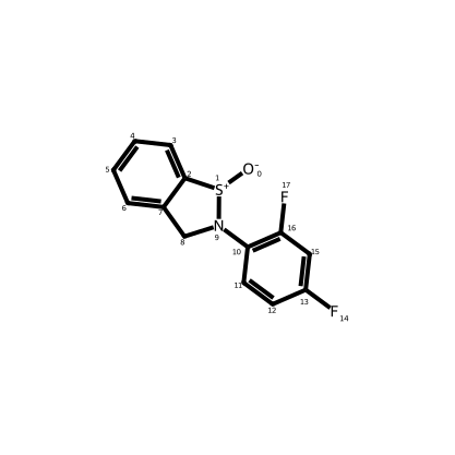 [O-][S+]1c2ccccc2CN1c1ccc(F)cc1F